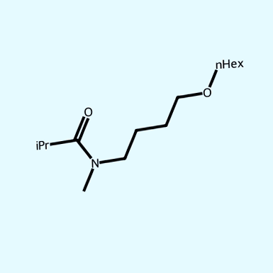 CCCCCCOCCCCN(C)C(=O)C(C)C